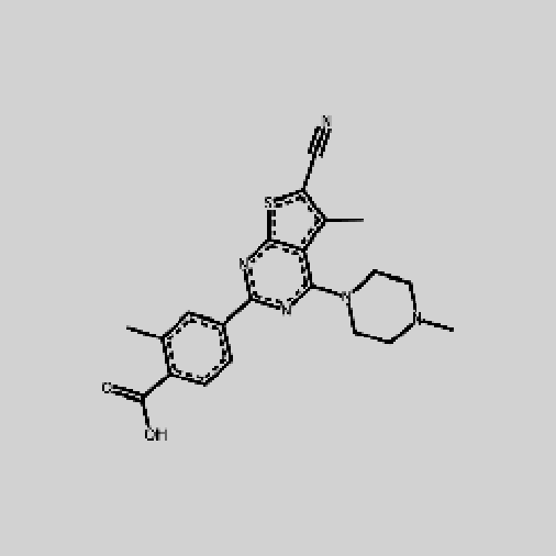 Cc1cc(-c2nc(N3CCN(C)CC3)c3c(C)c(C#N)sc3n2)ccc1C(=O)O